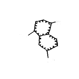 Nc1ccc(C(=O)O)c2cc(C(=O)O)ccc12